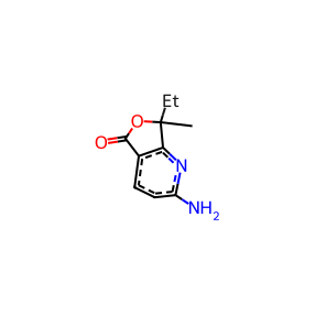 CCC1(C)OC(=O)c2ccc(N)nc21